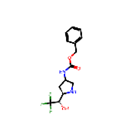 O=C(NC1CN[C@@H]([C@H](O)C(F)(F)F)C1)OCc1ccccc1